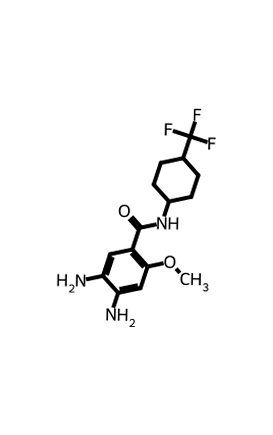 COc1cc(N)c(N)cc1C(=O)NC1CCC(C(F)(F)F)CC1